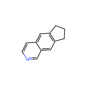 c1cc2cc3c(cc2cn1)CCC3